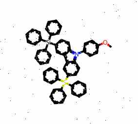 COc1ccc(-n2c3ccc([Si](c4ccccc4)(c4ccccc4)c4ccccc4)cc3c3cc(S(c4ccccc4)(c4ccccc4)c4ccccc4)ccc32)cc1